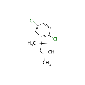 CCCC(C)(CC)c1cc(Cl)ccc1Cl